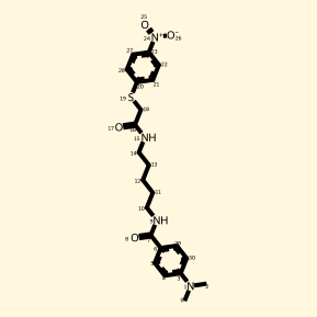 CN(C)c1ccc(C(=O)NCCCCCNC(=O)CSc2ccc([N+](=O)[O-])cc2)cc1